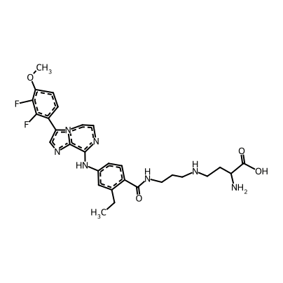 CCc1cc(Nc2nccn3c(-c4ccc(OC)c(F)c4F)cnc23)ccc1C(=O)NCCCNCCC(N)C(=O)O